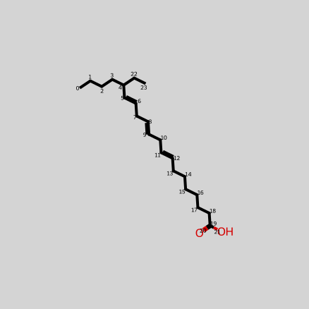 CCCCC(C=CCC=CCC=CCCCCCCC(=O)O)CC